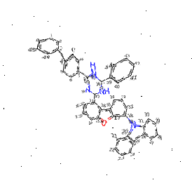 c1ccc(-c2ccc(C3=NC(c4cccc5oc6c(-n7c8ccccc8c8ccccc87)cccc6c45)NC(c4ccccc4)N3)cc2)cc1